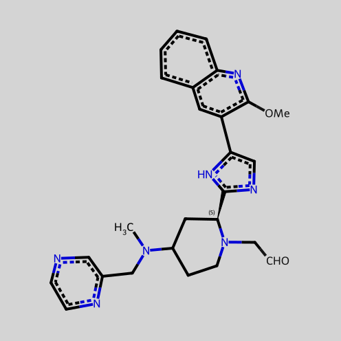 COc1nc2ccccc2cc1-c1cnc([C@@H]2CC(N(C)Cc3cnccn3)CCN2CC=O)[nH]1